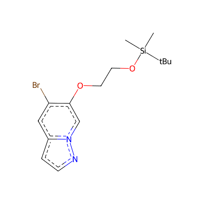 CC(C)(C)[Si](C)(C)OCCOc1cn2nccc2cc1Br